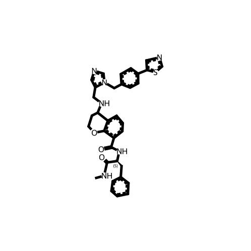 CNC(=O)[C@H](Cc1ccccc1)NC(=O)c1cccc2c1OCCC2NCc1cncn1Cc1ccc(-c2cncs2)cc1